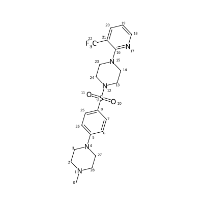 CN1CCN(c2ccc(S(=O)(=O)N3CCN(c4ncccc4C(F)(F)F)CC3)cc2)CC1